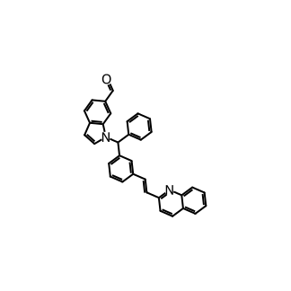 O=Cc1ccc2ccn(C(c3ccccc3)c3cccc(C=Cc4ccc5ccccc5n4)c3)c2c1